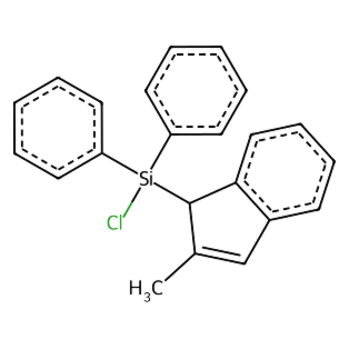 CC1=Cc2ccccc2C1[Si](Cl)(c1ccccc1)c1ccccc1